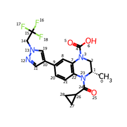 C[C@H]1CN(C(=O)O)c2cc(-c3cnn(CC(F)(F)F)c3)ccc2N1C(=O)C1CC1